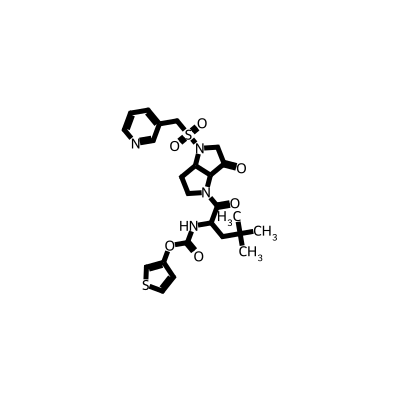 CC(C)(C)CC(NC(=O)Oc1ccsc1)C(=O)N1CCC2C1C(=O)CN2S(=O)(=O)Cc1cccnc1